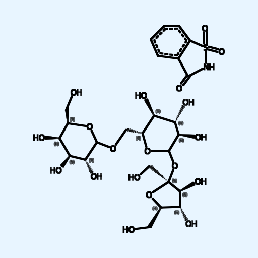 O=C1NS(=O)(=O)c2ccccc21.OC[C@H]1OC(OC[C@H]2OC(O[C@]3(CO)O[C@H](CO)[C@@H](O)[C@@H]3O)[C@H](O)[C@@H](O)[C@@H]2O)[C@H](O)[C@@H](O)[C@H]1O